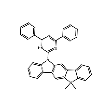 CC1(C)c2ccccc2-c2cc3c(cc21)c1ccccc1n3C1=NC(c2ccccc2)=NC(c2ccccc2)N1